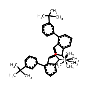 CC(C)(C)c1cccc(-c2cccc3c2C=C[CH]3[Hf]([CH3])([CH3])([CH3])([CH3])(=[SiH2])[CH]2C=Cc3c(-c4cccc(C(C)(C)C)c4)cccc32)c1